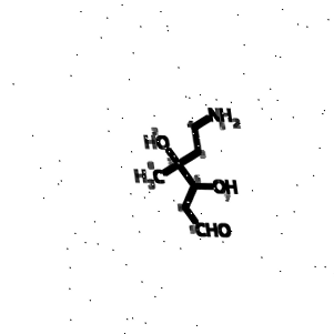 CC(O)(CCN)C(O)CC=O